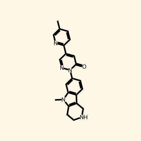 Cc1ccc(-c2cnn(-c3ccc4c5c(n(C)c4c3)CCNC5)c(=O)c2)nc1